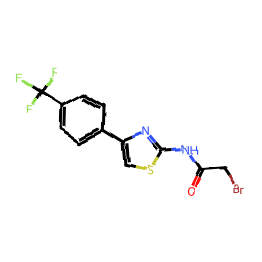 O=C(CBr)Nc1nc(-c2ccc(C(F)(F)F)cc2)cs1